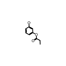 CCC(=O)Oc1cccc([O])c1